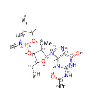 C#CCC(C)OP(OC1C(CO)OC(n2cnc3c(=O)[nH]c(NC(=O)C(C)C)nc32)C1OC)N(C(C)C)C(C)C